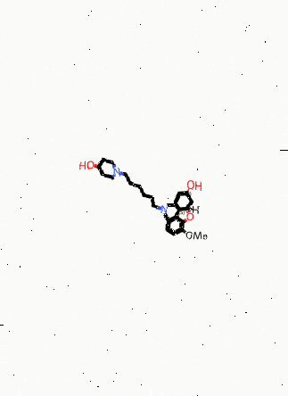 COc1ccc2c3c1O[C@H]1C[C@@H](O)C=C[C@@]31CCN(CCCCCCN1CCC(O)CC1)C2